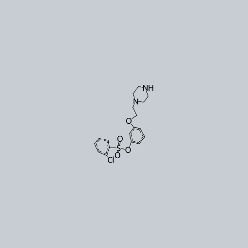 O=S(=O)(Oc1cccc(OCCN2CCNCC2)c1)c1ccccc1Cl